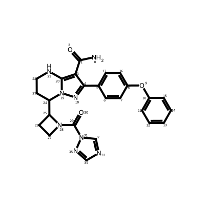 NC(=O)c1c(-c2ccc(Oc3ccccc3)cc2)nn2c1NCCC2C1CCN1C(=O)n1cncn1